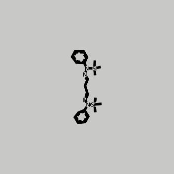 C[Si](C)(C)N(N=CCC=NN(c1ccccc1)[Si](C)(C)C)c1ccccc1